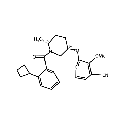 COc1c(C#N)ccnc1O[C@@H]1CC[C@@H](C)N(C(=O)c2ccccc2C2CCC2)C1